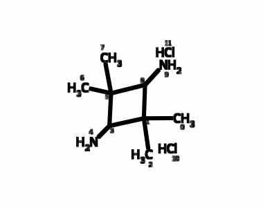 CC1(C)C(N)C(C)(C)C1N.Cl.Cl